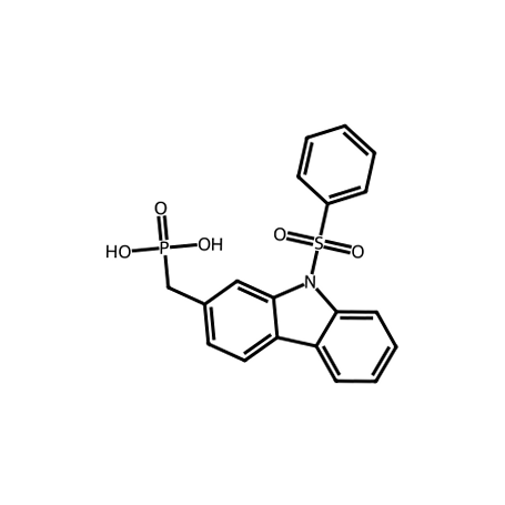 O=P(O)(O)Cc1ccc2c3ccccc3n(S(=O)(=O)c3ccccc3)c2c1